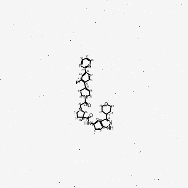 C[C@@]1(C(=O)Nc2ccc3[nH]nc(C4CCOCC4)c3c2)CCN(CC(=O)N2CC=C(c3ccc(-c4ncccn4)cc3F)CC2)C1